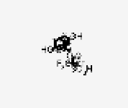 O=C(OCC12CC3CC(O)(CC(O)(C3)C1)C2)C(C(F)(F)F)(C(F)(F)F)S(=O)(=O)O